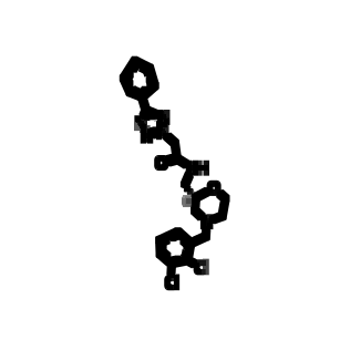 O=C(Cn1nnc(-c2ccccc2)n1)NC[C@H]1CN(Cc2cccc(Cl)c2Cl)CCO1